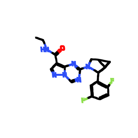 CCNC(=O)c1cnn2cnc(N3CC4CC4C3c3cc(F)ccc3F)nc12